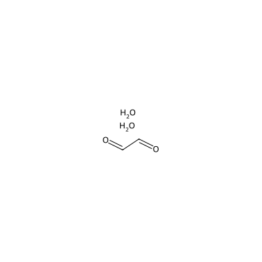 O.O.O=CC=O